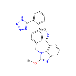 CCOc1nc2cccc(/C=N/OC)c2n1Cc1ccc(-c2ccccc2-c2nnn[nH]2)cc1